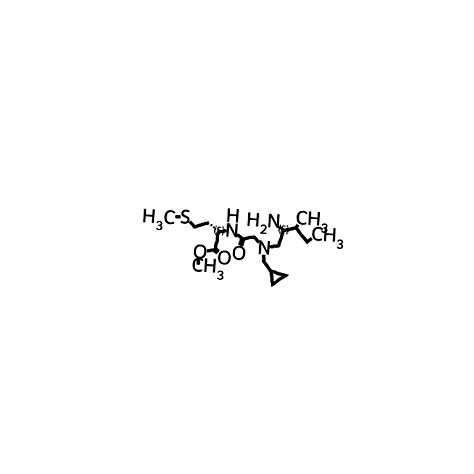 CCC(C)[C@H](N)CN(CC(=O)N[C@@H](CCSC)C(=O)OC)CC1CC1